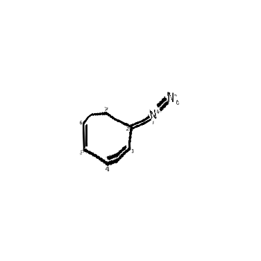 [N-]=[N+]=C1C=C[C]=CC1